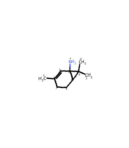 CC1=CC2(N)C(CC1)C2(C)C